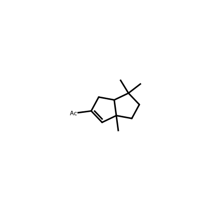 CC(=O)C1=CC2(C)CCC(C)(C)C2C1